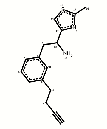 C#CCCc1cccc(CC(N)c2csc(C)n2)c1